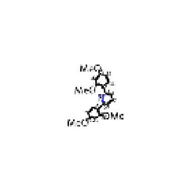 COc1ccc(-c2cccc(-c3ccc(OC)cc3OC)n2)c(OC)c1